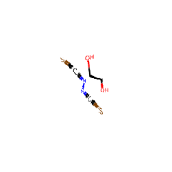 OCCO.S=C=NN=C=S